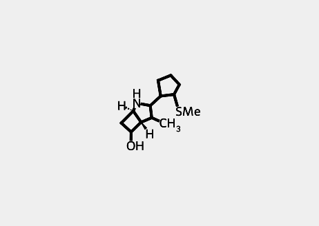 CSC1CCCC1C1N[C@@H]2CC(O)[C@H]2C1C